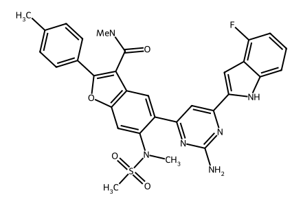 CNC(=O)c1c(-c2ccc(C)cc2)oc2cc(N(C)S(C)(=O)=O)c(-c3cc(-c4cc5c(F)cccc5[nH]4)nc(N)n3)cc12